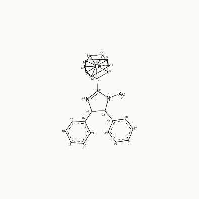 CC(=O)N1C([C]23[CH]4[CH]5[CH]6[CH]2[Fe]56432789[CH]3[CH]2[CH]7[CH]8[CH]39)=NC(c2ccccc2)C1c1ccccc1